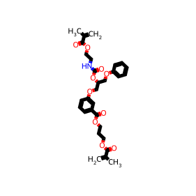 C=C(C)C(=O)OCCCOC(=O)c1cccc(OCC(COc2ccccc2)OC(=O)NCCOC(=O)C(=C)C)c1